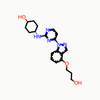 OCCCOc1cccc2c1cnn2-c1ccnc(N[C@H]2CC[C@H](O)CC2)n1